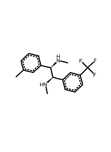 CN[C@H](c1cccc(C)c1)[C@H](NC)c1cccc(C(F)(F)F)c1